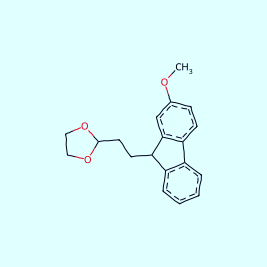 COc1ccc2c(c1)C(CCC1OCCO1)c1ccccc1-2